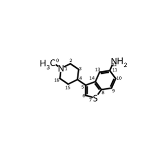 CN1CCC(c2csc3ccc(N)cc23)CC1